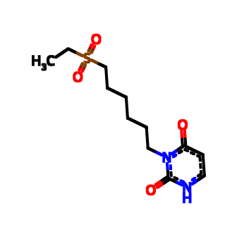 CCS(=O)(=O)CCCCCCn1c(=O)cc[nH]c1=O